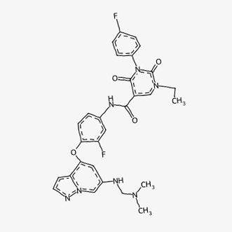 CCn1cc(C(=O)Nc2ccc(Oc3cc(NCN(C)C)cn4nccc34)c(F)c2)c(=O)n(-c2ccc(F)cc2)c1=O